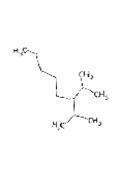 CCCCCC(C(C)C)C(C)C